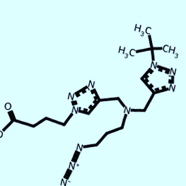 CC(C)(C)n1cc(CN(CCCN=[N+]=[N-])Cc2cn(CCCC(=O)O)nn2)nn1